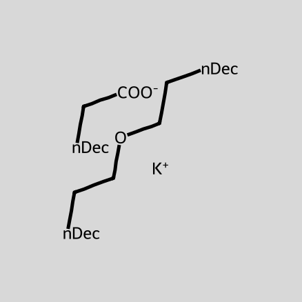 CCCCCCCCCCCC(=O)[O-].CCCCCCCCCCCCOCCCCCCCCCCCC.[K+]